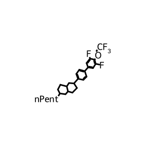 CCCCCC1CCC2CC(c3ccc(-c4cc(F)c(OCC(F)(F)F)c(F)c4)cc3)CCC2C1